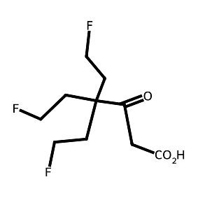 O=C(O)CC(=O)C(CCF)(CCF)CCF